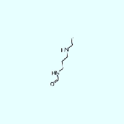 [CH2]CNCCCNC=O